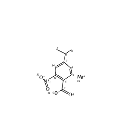 CC(C)c1ccc(C(=O)[O-])c([N+](=O)[O-])c1.[Na+]